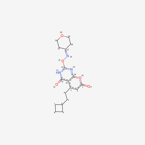 O=c1cc(CCC2CCC2)c2c(=O)[nH]c(ON=C3CCOCC3)nc2o1